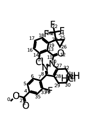 COC(=O)c1ccc(-c2nn(C(=O)c3c(Cl)cccc3C3(C(F)(F)F)CC3)c3c2CCNC3)c(F)c1.Cl